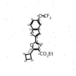 CCOC(=O)c1nc(-c2cc3cc(OC(F)(F)F)ccc3s2)oc1C1CCC1